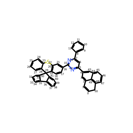 C1=Cc2cc(-c3cc(-c4ccccc4)nc(-c4ccc5c(c4)Sc4ccccc4C54c5ccccc5-c5ccccc54)n3)cc3cccc(c23)C1